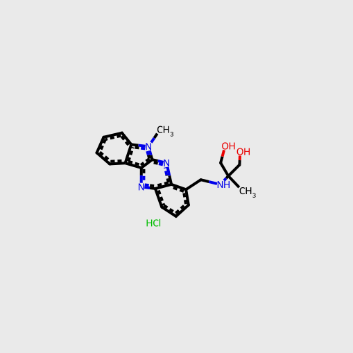 Cl.Cn1c2ccccc2c2nc3cccc(CNC(C)(CO)CO)c3nc21